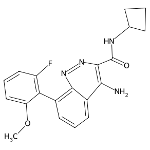 COc1cccc(F)c1-c1cccc2c(N)c(C(=O)NC3CCC3)nnc12